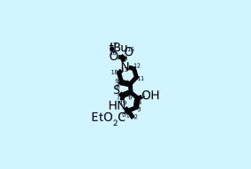 CCOC(=O)C1(C)C=C(O)c2c(sc3c2CCN(C(=O)OC(C)(C)C)C3)N1